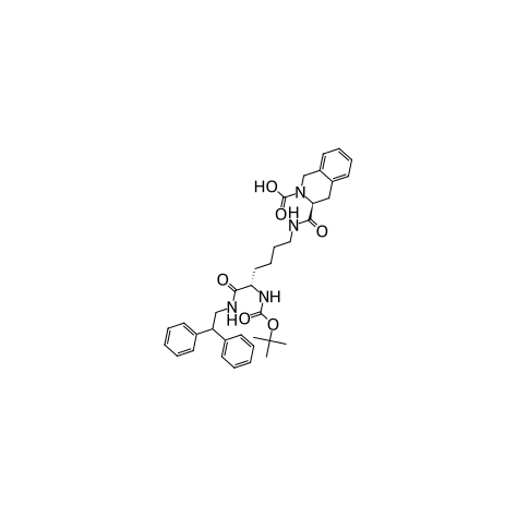 CC(C)(C)OC(=O)N[C@@H](CCCCNC(=O)[C@@H]1Cc2ccccc2CN1C(=O)O)C(=O)NCC(c1ccccc1)c1ccccc1